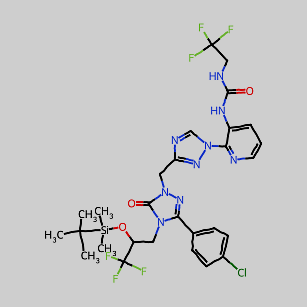 CC(C)(C)[Si](C)(C)OC(Cn1c(-c2ccc(Cl)cc2)nn(Cc2ncn(-c3ncccc3NC(=O)NCC(F)(F)F)n2)c1=O)C(F)(F)F